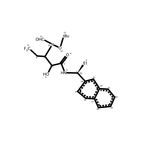 CC[C@H](NC(=O)C(O)C(CC(F)(F)F)N(C=O)OC(C)(C)C)c1ccc2ccccc2c1